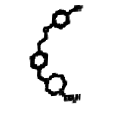 CC(C)c1ccc(OCCc2ccc(CN3CCCN(C(=O)O)CC3)cc2)cc1